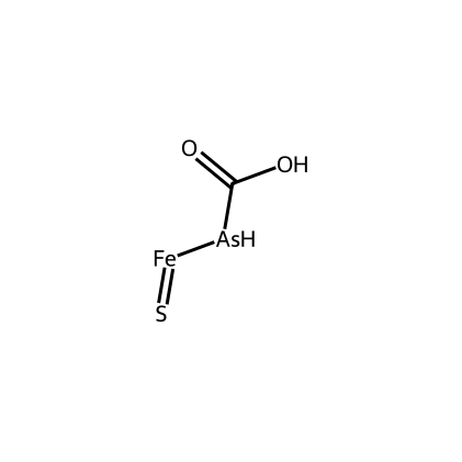 O=C(O)[AsH][Fe]=[S]